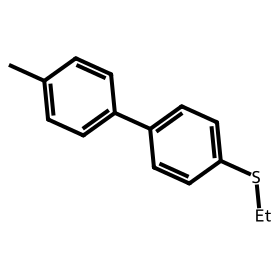 CCSc1ccc(-c2ccc(C)cc2)cc1